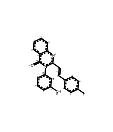 Cc1ccc(/C=C/c2nc3ccccc3c(=O)n2-c2cccc(O)c2)cc1